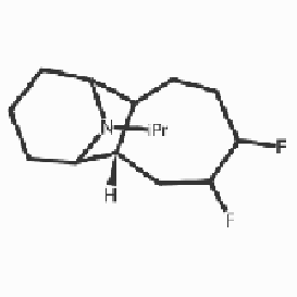 CC(C)N1C2CCCC1[C@H]1CC(F)C(F)CCC21